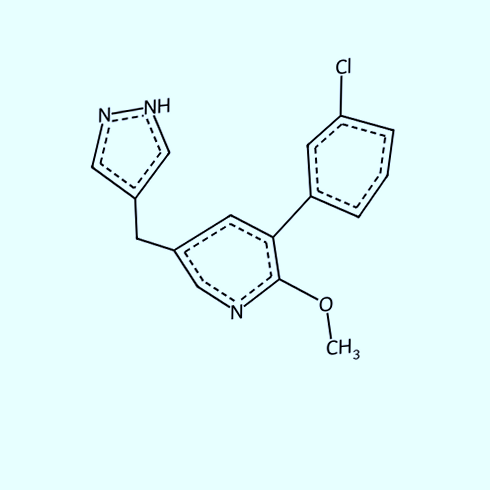 COc1ncc(Cc2cn[nH]c2)cc1-c1cccc(Cl)c1